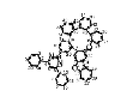 c1ccc(-c2cc(-c3ccccc3)nc(-c3ccc4c(c3)-c3cc5oc6ccccc6c5cc3Oc3ccccc3-c3ccccc3-c3ccccc3-4)n2)cc1